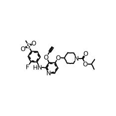 C#COc1c(OC2CCN(C(=O)OC(C)C)CC2)ccnc1Nc1ccc(S(C)(=O)=O)cc1F